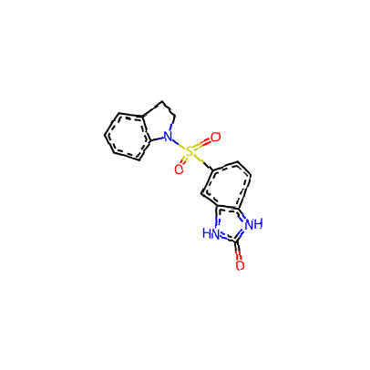 O=c1[nH]c2ccc(S(=O)(=O)N3CCc4ccccc43)cc2[nH]1